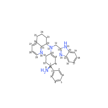 N[C@]1(c2ccccc2)CC=C(N(Cc2nc3ccccc3[nH]2)C2CCCc3cccnc32)CC1